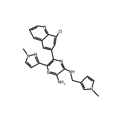 Cn1ccc(CNc2nc(-c3cc(Cl)c4ncccc4c3)c(-c3ccn(C)n3)nc2N)c1